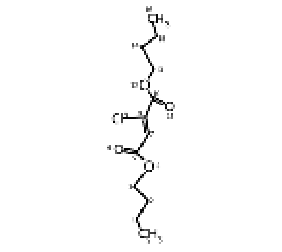 CCCCOC(=O)C=C(Cl)C(=O)OCCCC